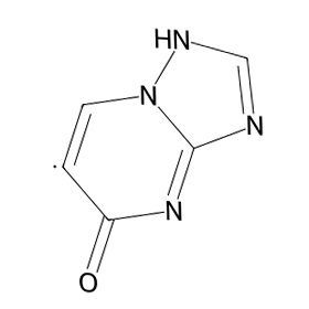 O=c1[c]cn2[nH]cnc2n1